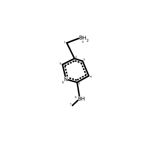 BCc1ccc(BC)nc1